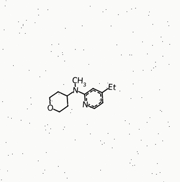 CCc1ccnc(N(C)C2CCOCC2)c1